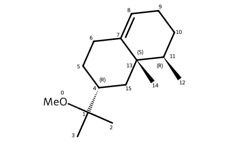 COC(C)(C)[C@@H]1CCC2=CCC[C@@H](C)[C@]2(C)C1